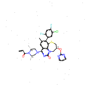 C=CC(=O)N1[C@H](C)CN(c2nc(=O)n3c4c(c(-c5cc(Cl)c(F)cc5F)c(C)cc24)SC[C@@H](Oc2ncccn2)C3)C[C@@H]1C